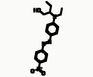 CCC(CO)N(CC)c1ccc(N=Nc2ccc([N+](=O)[O-])cc2)cc1